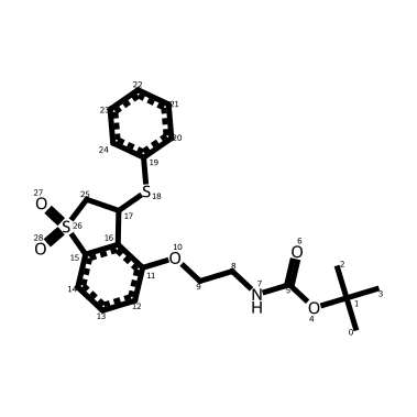 CC(C)(C)OC(=O)NCCOc1cccc2c1C(Sc1ccccc1)CS2(=O)=O